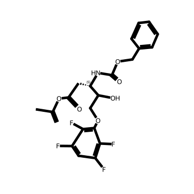 C=C(C)OC(=O)C[C@H](NC(=O)OCc1ccccc1)C(O)COc1c(F)c(F)cc(F)c1F